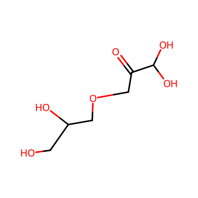 O=C(COCC(O)CO)C(O)O